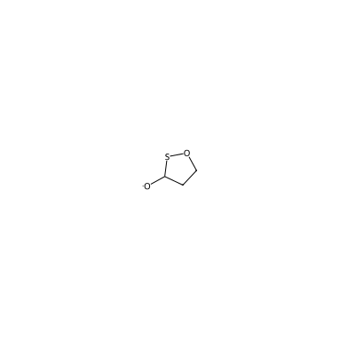 [O]C1CCOS1